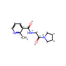 Cc1ncccc1C(=O)NCC(=O)N1CCCC1